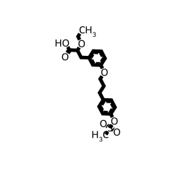 CCOC(Cc1cccc(OCCCc2ccc(OS(C)(=O)=O)cc2)c1)C(=O)O